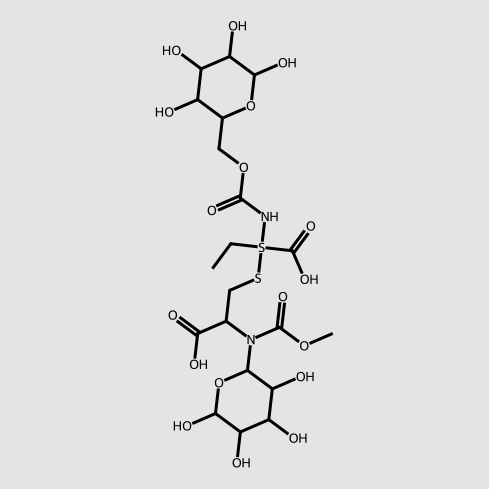 CCS(NC(=O)OCC1OC(O)C(O)C(O)C1O)(SCC(C(=O)O)N(C(=O)OC)C1OC(O)C(O)C(O)C1O)C(=O)O